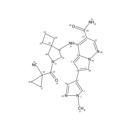 Cn1cc(-c2cc3c(NC4CN(C(=O)C5(C#N)CC5)CC45CCC5)c(C(N)=O)cnn3c2)cn1